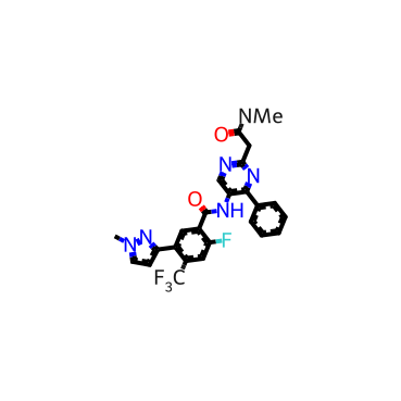 CNC(=O)Cc1ncc(NC(=O)c2cc(-c3ccn(C)n3)c(C(F)(F)F)cc2F)c(-c2ccccc2)n1